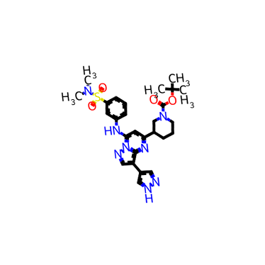 CN(C)S(=O)(=O)c1cccc(Nc2cc(C3CCCN(C(=O)OC(C)(C)C)C3)nc3c(-c4cn[nH]c4)cnn23)c1